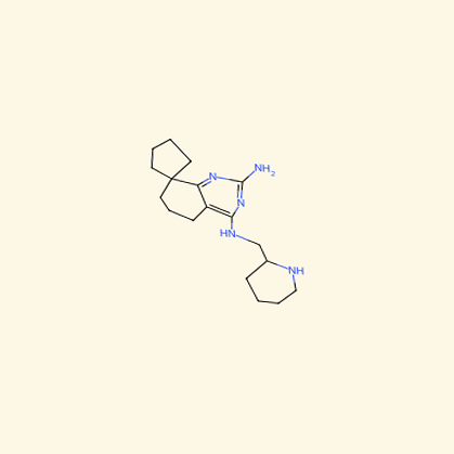 Nc1nc(NCC2CCCCN2)c2c(n1)C1(CCCC1)CCC2